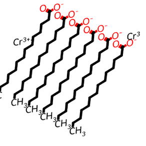 CCCCCCCCCCCCCC(=O)[O-].CCCCCCCCCCCCCC(=O)[O-].CCCCCCCCCCCCCC(=O)[O-].CCCCCCCCCCCCCC(=O)[O-].CCCCCCCCCCCCCC(=O)[O-].CCCCCCCCCCCCCC(=O)[O-].[Cr+3].[Cr+3]